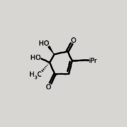 CC(C)C1=CC(=O)[C@@](C)(O)[C@@H](O)C1=O